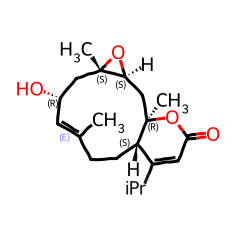 C/C1=C\[C@H](O)C[C@]2(C)O[C@H]2C[C@@]2(C)OC(=O)C=C(C(C)C)[C@@H]2CC1